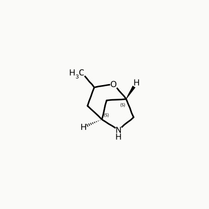 CC1C[C@H]2C[C@@H](CN2)O1